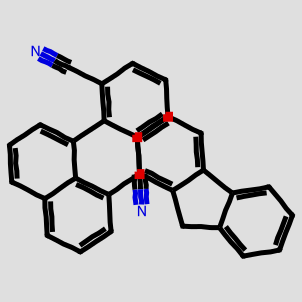 N#Cc1cccc(C#N)c1-c1cccc2cccc(-c3cccc4c3Cc3ccccc3-4)c12